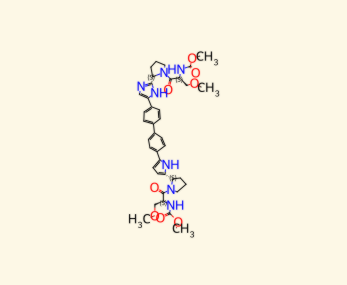 COC[C@H](NC(=O)OC)C(=O)N1CCC[C@H]1c1ccc(-c2ccc(-c3ccc(-c4cnc([C@@H]5CCCN5C(=O)[C@H](COC)NC(=O)OC)[nH]4)cc3)cc2)[nH]1